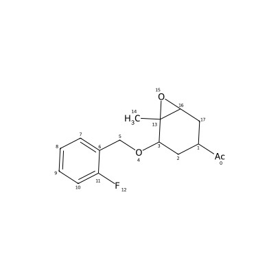 CC(=O)C1CC(OCc2ccccc2F)C2(C)OC2C1